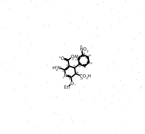 CCOC1=NC(N)=C(C(=O)OC)C(c2cccc([N+](=O)[O-])c2)C1C(=O)O